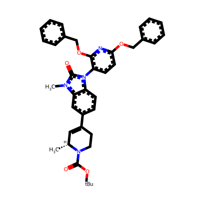 C[C@@H]1C=C(c2ccc3c(c2)n(C)c(=O)n3-c2ccc(OCc3ccccc3)nc2OCc2ccccc2)CCN1C(=O)OC(C)(C)C